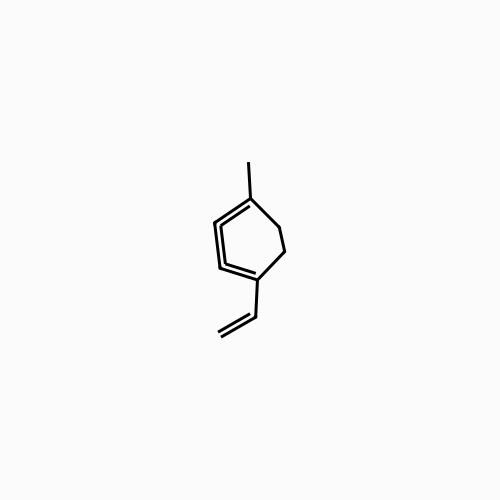 C=CC1=C=C=C(C)CC1